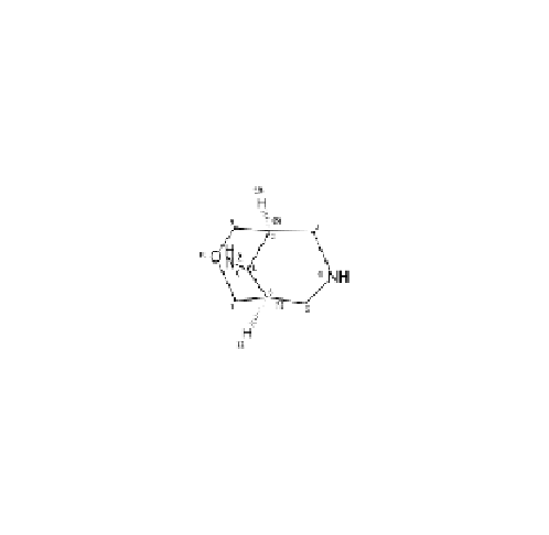 NC1[C@@H]2CNC[C@H]1COC2